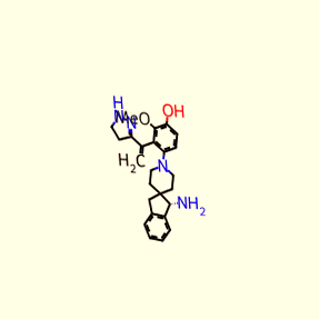 C=C(C1=NNCC1)c1c(N2CCC3(CC2)Cc2ccccc2[C@H]3N)ccc(O)c1OC